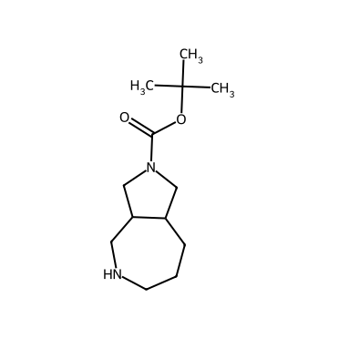 CC(C)(C)OC(=O)N1CC2CCCNCC2C1